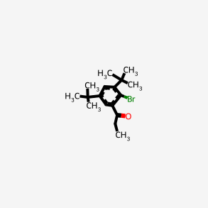 CCC(=O)c1cc(C(C)(C)C)cc(C(C)(C)C)c1Br